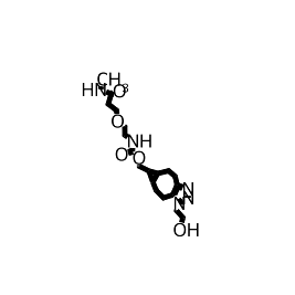 CNC(=O)CCOCCNC(=O)OCC1C2CCc3nnn(CCO)c3CCC21